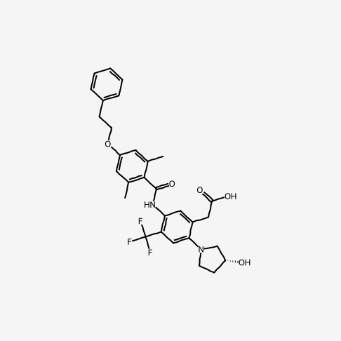 Cc1cc(OCCc2ccccc2)cc(C)c1C(=O)Nc1cc(CC(=O)O)c(N2CC[C@@H](O)C2)cc1C(F)(F)F